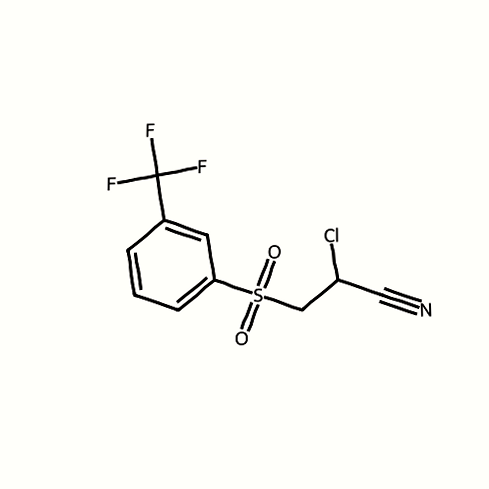 N#CC(Cl)CS(=O)(=O)c1cccc(C(F)(F)F)c1